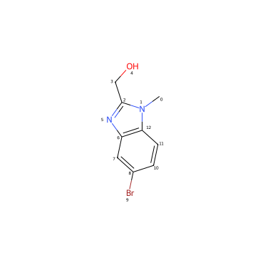 Cn1c(CO)nc2cc(Br)ccc21